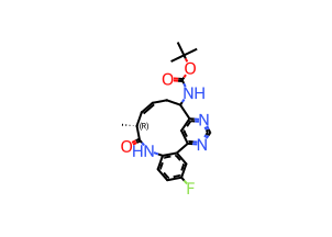 C[C@@H]1C=CCC(NC(=O)OC(C)(C)C)c2cc(ncn2)-c2cc(F)ccc2NC1=O